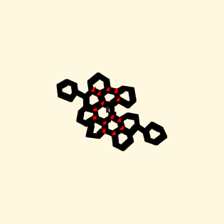 c1ccc(-c2ccc(N(c3ccccc3-c3ccccc3)c3ccccc3-c3ccccc3-c3ccccc3N(c3ccc(-c4ccccc4)cc3)c3ccccc3-c3ccccc3)cc2)cc1